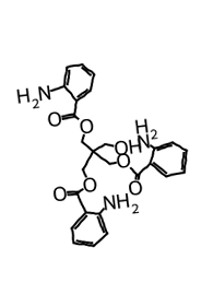 Nc1ccccc1C(=O)OCC(CO)(COC(=O)c1ccccc1N)COC(=O)c1ccccc1N